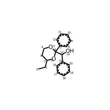 CCC1CCOC(c2ccccc2)(C(O)c2ccccc2)O1